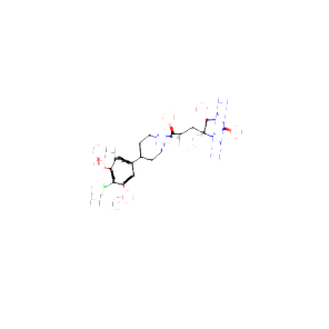 COc1cc(C2CCN(C(=O)CCC3(C)NC(=O)NC3=O)CC2)cc(OC)c1Cl